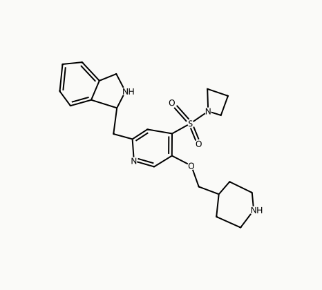 O=S(=O)(c1cc(CC2NCc3ccccc32)ncc1OCC1CCNCC1)N1CCC1